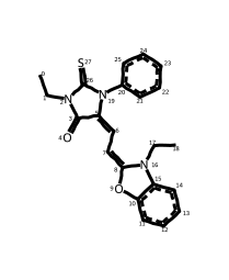 CCN1C(=O)C(=CC=C2Oc3ccccc3N2CC)N(c2ccccc2)C1=S